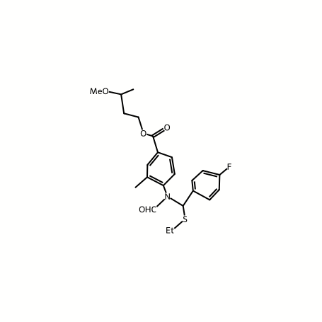 CCSC(c1ccc(F)cc1)N(C=O)c1ccc(C(=O)OCCC(C)OC)cc1C